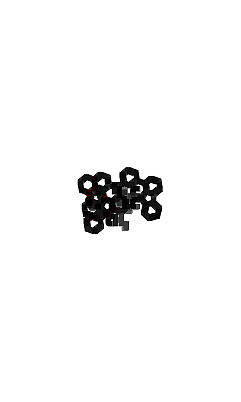 CC1(C)c2ccccc2-c2cccc(-c3cccc(N(c4ccccc4-c4cccc5cccc(C6CCCCC6)c45)c4cccc5c4-c4ccccc4C5(C)c4ccccc4)c3)c21